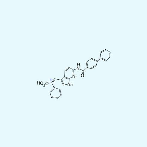 O=C(O)/C(=C/c1c[nH]c2nc(NC(=O)c3ccc(-c4ccccc4)cc3)ccc12)c1ccccc1